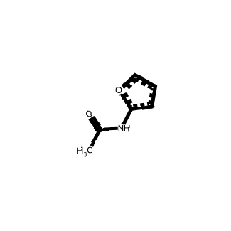 CC(=O)Nc1[c]cco1